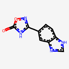 O=c1[nH]c(-c2ccc3[nH]cnc3c2)no1